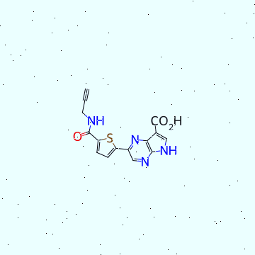 C#CCNC(=O)c1ccc(-c2cnc3[nH]cc(C(=O)O)c3n2)s1